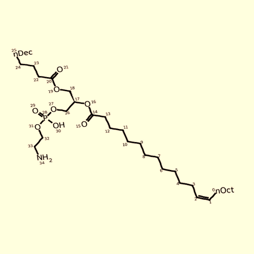 CCCCCCCC/C=C\CCCCCCCCCCCC(=O)O[C@H](COC(=O)CCCCCCCCCCCCC)COP(=O)(O)OCCN